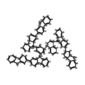 c1ccc2c(c1)oc1cc(-c3ccc4c5ccccc5n(-c5nc(-c6ccc(-n7c8ccccc8c8ccc(-c9ccc%10c(c9)oc9ccccc9%10)cc87)c7ccccc67)nc(-n6c7ccccc7c7ccc(-c8ccc9c(c8)oc8ccccc89)cc76)n5)c4c3)ccc12